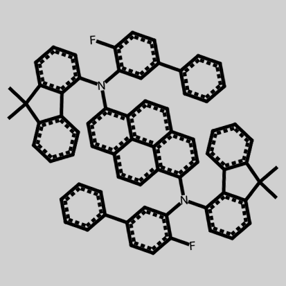 CC1(C)c2ccccc2-c2c(N(c3cc(-c4ccccc4)ccc3F)c3ccc4ccc5c(N(c6cc(-c7ccccc7)ccc6F)c6cccc7c6-c6ccccc6C7(C)C)ccc6ccc3c4c65)cccc21